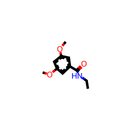 CCNC(=O)c1cc(OC)cc(OC)c1